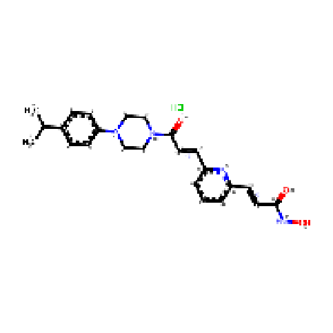 CC(C)c1ccc(N2CCN(C(=O)/C=C/c3cccc(/C=C/C(=O)NO)n3)CC2)cc1.Cl